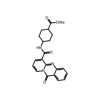 COC(=O)C1CCC(NC(=O)c2cccn3c(=O)c4ccccc4nc23)CC1